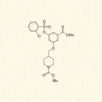 COC(=O)c1cc(OCC2CCN(C(=O)OC(C)(C)C)CC2)cc(OS(=O)(=O)c2ccccc2Cl)c1